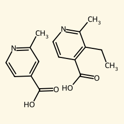 CCc1c(C(=O)O)ccnc1C.Cc1cc(C(=O)O)ccn1